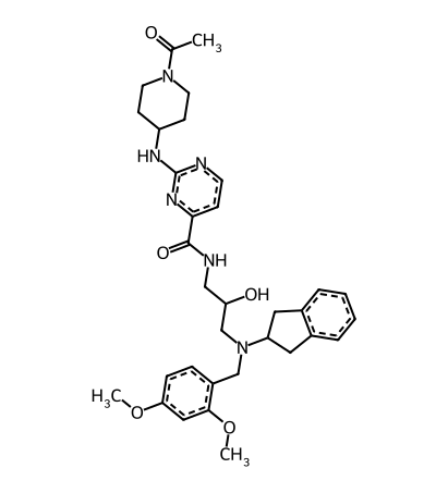 COc1ccc(CN(CC(O)CNC(=O)c2ccnc(NC3CCN(C(C)=O)CC3)n2)C2Cc3ccccc3C2)c(OC)c1